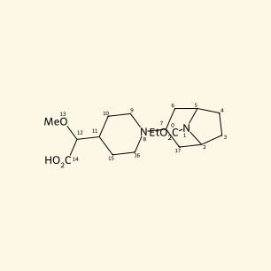 CCOC(=O)N1C2CCC1CC(N1CCC(C(OC)C(=O)O)CC1)C2